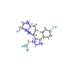 Fc1ccc(-c2ncn(CC(F)F)c2-c2ccc3ncc(I)n3n2)cc1